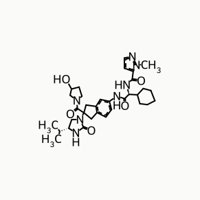 CC(C)[C@@H]1CN(C2(C(=O)N3CCC(O)C3)Cc3ccc(NC(=O)[C@@H](NC(=O)c4ccnn4C)C4CCCCC4)cc3C2)C(=O)N1